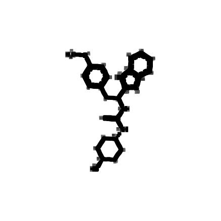 COc1ccc(CC(NC(=O)N[C@H]2CC[C@H](O)CC2)c2nc3cccnc3[nH]2)cc1